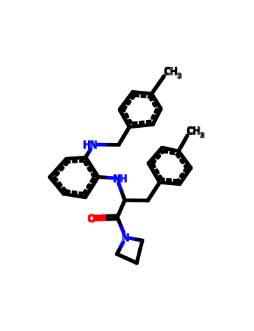 Cc1ccc(CNc2ccccc2NC(Cc2ccc(C)cc2)C(=O)N2CCC2)cc1